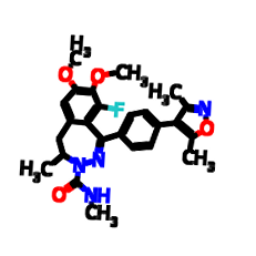 CNC(=O)N1N=C(c2ccc(-c3c(C)noc3C)cc2)c2c(cc(OC)c(OC)c2F)CC1C